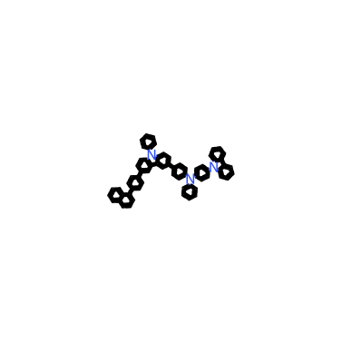 c1ccc(N(c2ccc(-c3ccc4c(c3)c3cc(-c5ccc(-c6cccc7ccccc67)cc5)ccc3n4-c3ccccc3)cc2)c2ccc(-n3c4ccccc4c4ccccc43)cc2)cc1